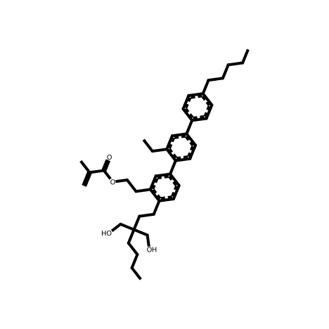 C=C(C)C(=O)OCCc1cc(-c2ccc(-c3ccc(CCCCC)cc3)cc2CC)ccc1CCC(CO)(CO)CCCC